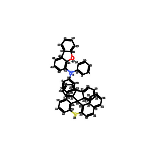 c1ccc(N(c2ccc(-c3cccc4c3C3(c5ccccc5-c5ccccc53)c3c(ccc5ccccc35)S4)cc2)c2cccc3c2oc2ccccc23)cc1